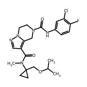 CC(C)OCC1(N(C)C(=O)c2cnn3c2CN(C(=O)Nc2ccc(F)c(Cl)c2)CC3)CC1